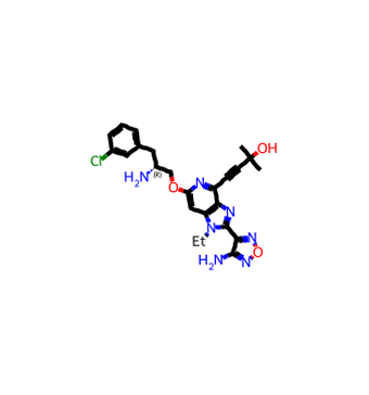 CCn1c(-c2nonc2N)nc2c(C#CC(C)(C)O)nc(OC[C@H](N)Cc3cccc(Cl)c3)cc21